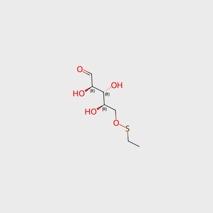 CCSOC[C@@H](O)[C@@H](O)[C@@H](O)C=O